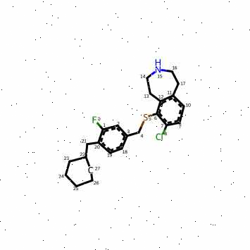 Fc1cc(CSc2c(Cl)ccc3c2CCNCC3)ccc1CC1CCCCC1